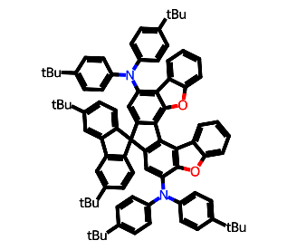 CC(C)(C)c1ccc(N(c2ccc(C(C)(C)C)cc2)c2cc3c(c4c2oc2ccccc24)-c2c(cc(N(c4ccc(C(C)(C)C)cc4)c4ccc(C(C)(C)C)cc4)c4c2oc2ccccc24)C32c3ccc(C(C)(C)C)cc3-c3cc(C(C)(C)C)ccc32)cc1